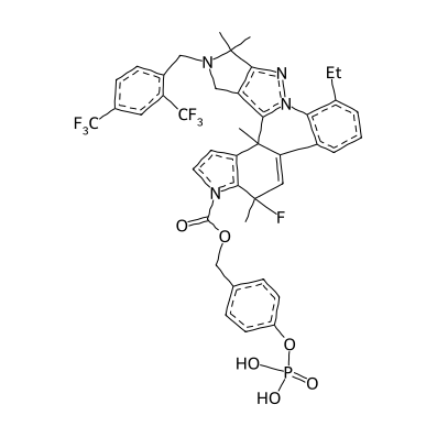 CCc1cccc2c1-n1nc3c(c1C1(C)C2=CC(C)(F)c2c1ccn2C(=O)OCc1ccc(OP(=O)(O)O)cc1)CN(Cc1ccc(C(F)(F)F)cc1C(F)(F)F)C3(C)C